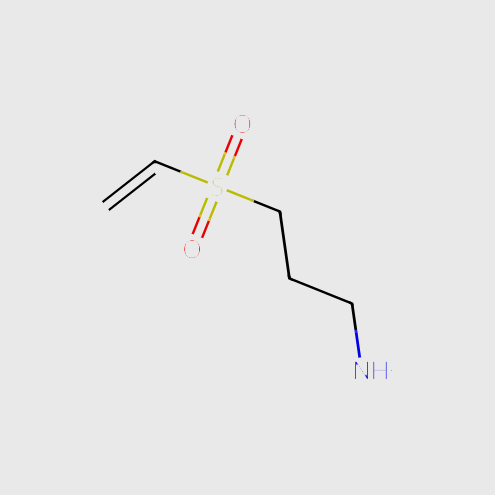 C=CS(=O)(=O)CCC[NH]